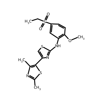 CCS(=O)(=O)c1ccc(OC)c(Nc2nc(-c3sc(C)nc3C)cs2)c1